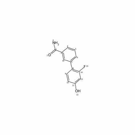 NC(=O)c1cccc(-c2ccc(O)cc2F)c1